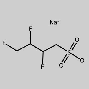 O=S(=O)([O-])CC(F)C(F)CF.[Na+]